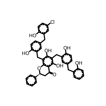 O=C1C[C@@H](c2ccccc2)Oc2c(Cc3cc(Cc4cc(Cl)ccc4O)ccc3O)c(O)c(Cc3cc(Cc4ccccc4O)ccc3O)c(O)c21